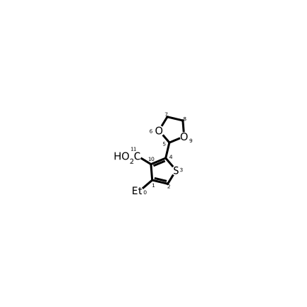 CCc1csc(C2OCCO2)c1C(=O)O